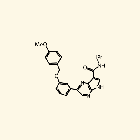 COc1ccc(COc2cccc(-c3cnc4[nH]cc(C(=O)NC(C)C)c4n3)c2)cc1